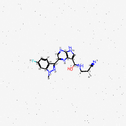 C[C@@H](C#N)CNC(O)c1c[nH]c2ncc(-c3nn(C)c4cc(F)ccc34)nc12